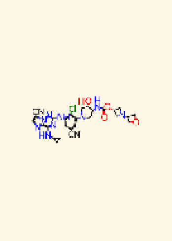 N#Cc1cc(Nc2nc(NC3CC3)c3ncc(C#N)n3n2)c(Cl)c(N2CC[C@@H](NC(=O)OC3CN(C4COC4)C3)[C@@H](O)C2)c1